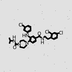 CC(C)NC(=O)N1CCCN(c2ccc(C(=O)NCCc3ccc(Cl)cc3Cl)cc2Nc2cccc(Cl)c2)CC1